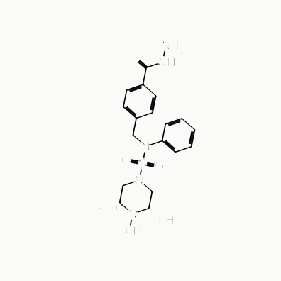 C[C@@H]1CN(S(=O)(=O)N(Cc2ccc(C(=O)NN)cc2)c2ccccc2)C[C@H](C)N1C